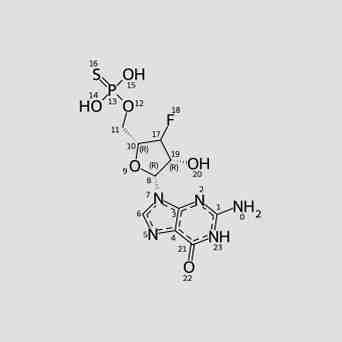 Nc1nc2c(ncn2[C@@H]2O[C@H](COP(O)(O)=S)C(F)[C@@H]2O)c(=O)[nH]1